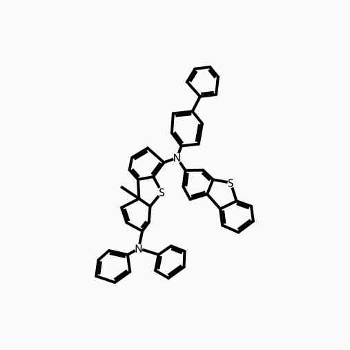 CC12C=CC(N(c3ccccc3)c3ccccc3)=CC1Sc1c(N(c3ccc(-c4ccccc4)cc3)c3ccc4c(c3)sc3ccccc34)cccc12